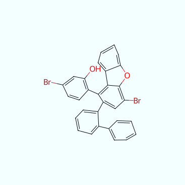 Oc1cc(Br)ccc1-c1c(-c2ccccc2-c2ccccc2)cc(Br)c2oc3ccccc3c12